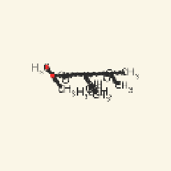 CCCCCC(CCCCC)CCOC(=O)CCCCCCCN(CCCCCCCC(=O)OC(CCCCC)CCCCC)CCCNC(=O)OC(C)(C)C